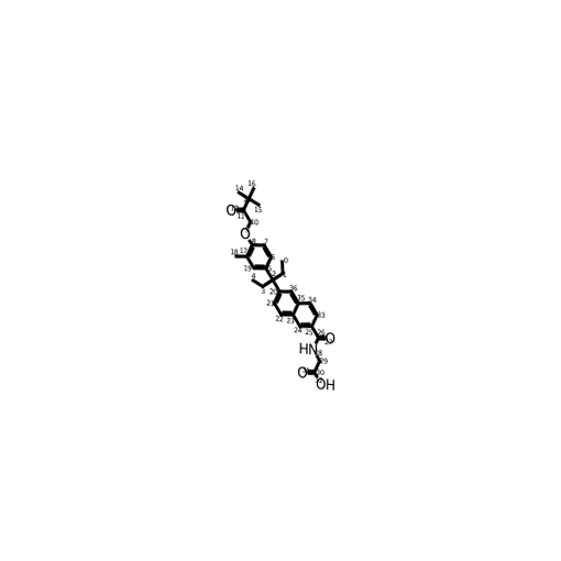 CCC(CC)(c1ccc(OCC(=O)C(C)(C)C)c(C)c1)c1ccc2cc(C(=O)NCC(=O)O)ccc2c1